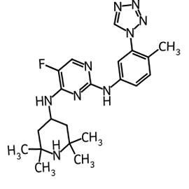 Cc1ccc(Nc2ncc(F)c(NC3CC(C)(C)NC(C)(C)C3)n2)cc1-n1cnnn1